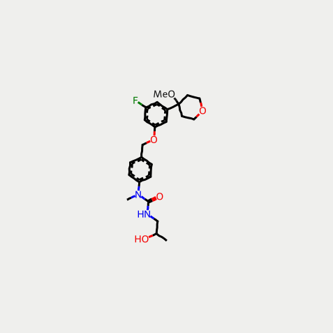 COC1(c2cc(F)cc(OCc3ccc(N(C)C(=O)NCC(C)O)cc3)c2)CCOCC1